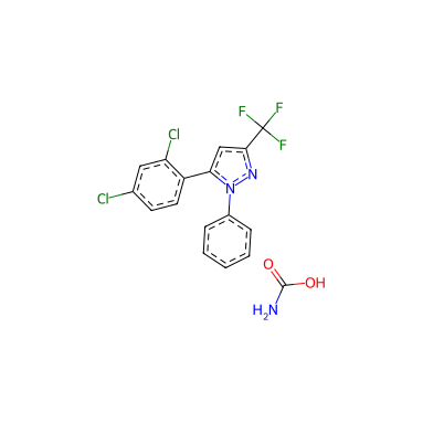 FC(F)(F)c1cc(-c2ccc(Cl)cc2Cl)n(-c2ccccc2)n1.NC(=O)O